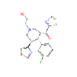 Cc1c(F)cccc1[C@H]1[C@@H](C(=O)c2nccs2)CN(CCO)C[C@@H]1c1cs[c]n1